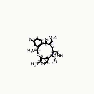 CCN/C1=C(\C=N)C/C(=C/NC)C(=N)c2ccc(F)cc2[C@@H](C)Oc2cc1cnc2N